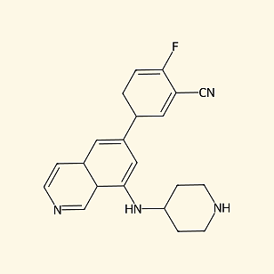 N#CC1=CC(C2=CC3C=CN=CC3C(NC3CCNCC3)=C2)CC=C1F